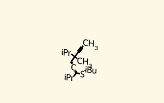 CC#CC(C)(C=C=C(SC(C)CC)C(C)C)C(C)C